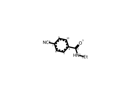 [CH2]CNC(=O)c1ccc(C#N)cc1